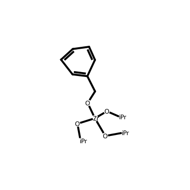 CC(C)[O][Zr]([O]Cc1ccccc1)([O]C(C)C)[O]C(C)C